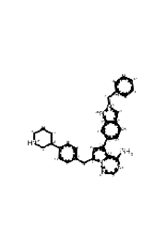 Nc1ncnn2c(Cc3ccc(C4CCCNC4)cc3)cc(-c3ccc4cn(Cc5ccccc5)nc4c3)c12